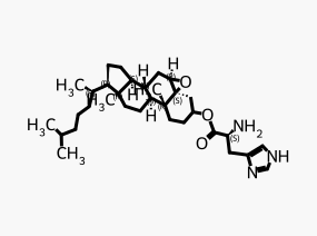 CC(C)CCC[C@@H](C)[C@H]1CC[C@H]2[C@@H]3C[C@H]4O[C@]45CC(OC(=O)[C@@H](N)Cc4c[nH]cn4)CC[C@]5(C)[C@H]3CC[C@]12C